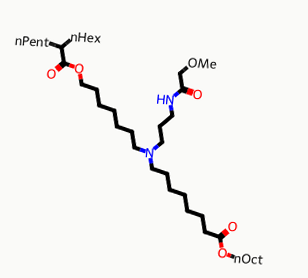 CCCCCCCCOC(=O)CCCCCCCN(CCCCCCCOC(=O)C(CCCCC)CCCCCC)CCCNC(=O)COC